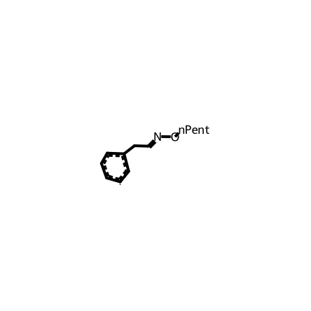 CCCCCON=CCc1c[c]ccc1